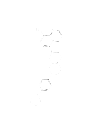 CC1CN(c2ccc(C#N)c3ncccc23)CC2CC(c3ccc(N4CCCC4)nc3)CCN12